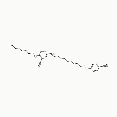 CCCCCCCCOc1ccc(/C=C/CCCCCCCCCOc2ccc(C#N)cc2)cc1C#N